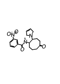 CN(C(=O)c1cccc([N+](=O)[O-])c1)C1CCCC(=O)CCC1N1CC=CC1